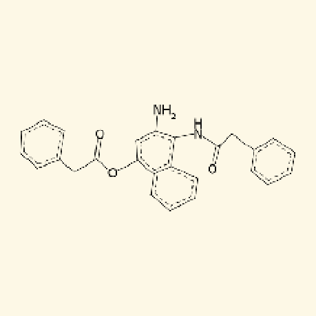 Nc1cc(OC(=O)Cc2ccccc2)c2ccccc2c1NC(=O)Cc1ccccc1